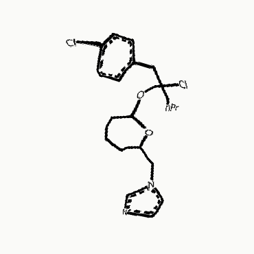 CCCC(Cl)(Cc1ccc(Cl)cc1)OC1CCCC(Cn2ccnc2)O1